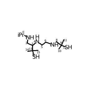 CC(C)NCC(NCCNCC(C)(C)S)C(C)(C)S